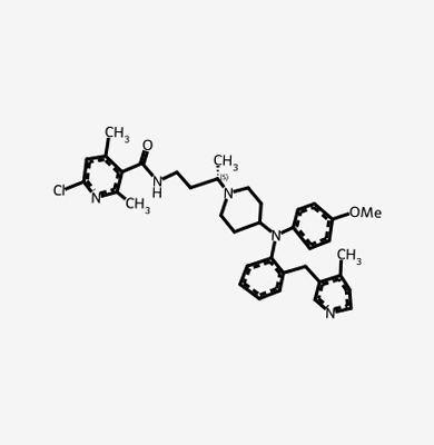 COc1ccc(N(c2ccccc2Cc2cnccc2C)C2CCN([C@@H](C)CCNC(=O)c3c(C)cc(Cl)nc3C)CC2)cc1